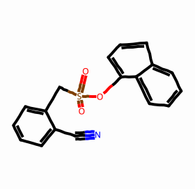 N#Cc1ccccc1CS(=O)(=O)Oc1cccc2ccccc12